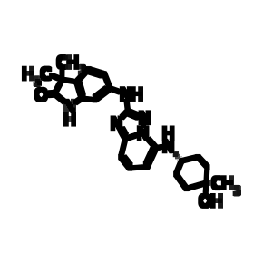 CC1(C)C(=O)Nc2cc(Nc3nc4cccc(N[C@H]5CC[C@](C)(O)CC5)n4n3)ccc21